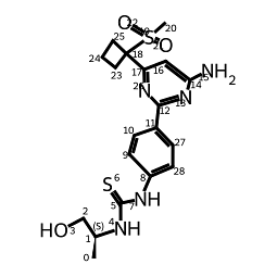 C[C@@H](CO)NC(=S)Nc1ccc(-c2nc(N)cc(C3(S(C)(=O)=O)CCC3)n2)cc1